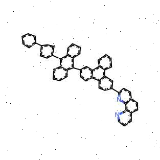 c1ccc(-c2ccc(-c3c4ccccc4c(-c4ccc5c6ccc(-c7ccc8ccc9cccnc9c8n7)cc6c6ccccc6c5c4)c4ccccc34)cc2)cc1